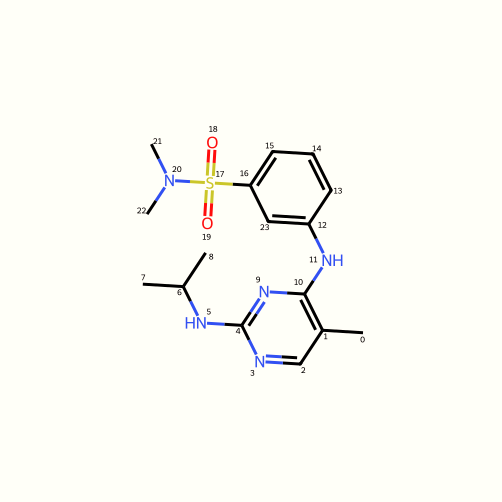 Cc1cnc(NC(C)C)nc1Nc1cccc(S(=O)(=O)N(C)C)c1